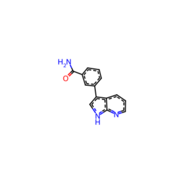 NC(=O)c1cccc(-c2c[nH]c3ncccc23)c1